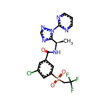 C[C@@H](NC(=O)c1cc(Cl)cc(S(=O)(=O)CC(F)(F)F)c1)c1ncnn1-c1ncccn1